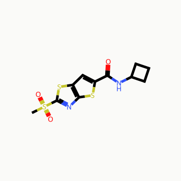 CS(=O)(=O)c1nc2sc(C(=O)NC3CCC3)cc2s1